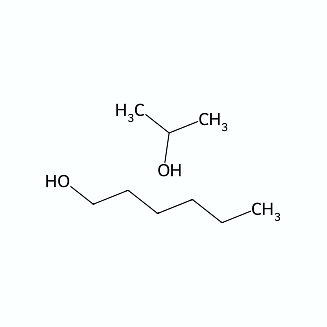 CC(C)O.CCCCCCO